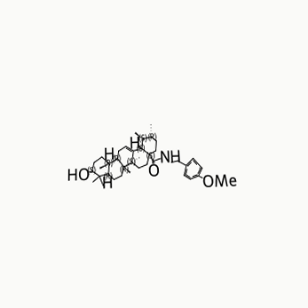 COc1ccc(CCNC(=O)[C@]23CC[C@@H](C)[C@H](C)[C@H]2C2=CC[C@@H]4[C@@]5(C)CC[C@H](O)C(C)(C)[C@@H]5CC[C@@]4(C)[C@]2(C)CC3)cc1